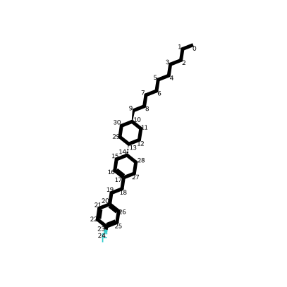 CCCCCCCCCC[C@H]1CC[C@H](C2CC=C(CCc3ccc(F)cc3)CC2)CC1